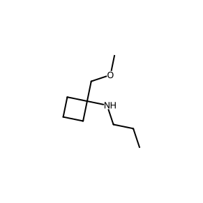 CCCNC1(COC)CCC1